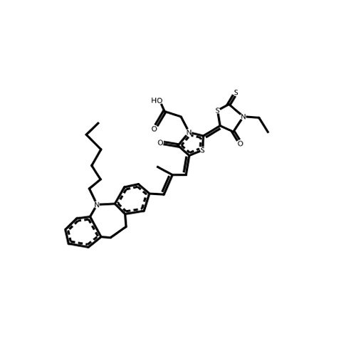 CCCCCCN1c2ccccc2CCc2cc(/C=C(C)/C=c3/s/c(=C4/SC(=S)N(CC)C4=O)n(CC(=O)O)c3=O)ccc21